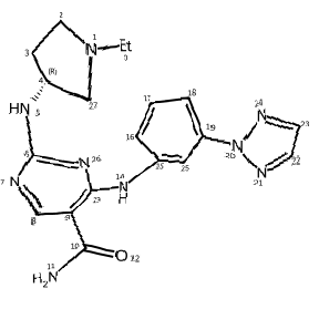 CCN1CC[C@@H](Nc2ncc(C(N)=O)c(Nc3cccc(-n4nccn4)c3)n2)C1